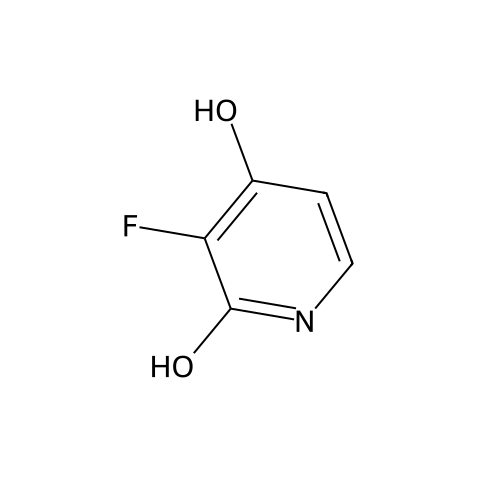 Oc1ccnc(O)c1F